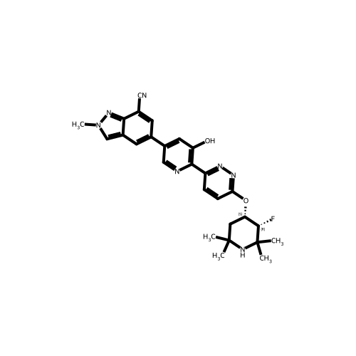 Cn1cc2cc(-c3cnc(-c4ccc(O[C@H]5CC(C)(C)NC(C)(C)[C@H]5F)nn4)c(O)c3)cc(C#N)c2n1